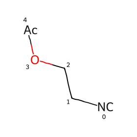 [C-]#[N+]CCOC(C)=O